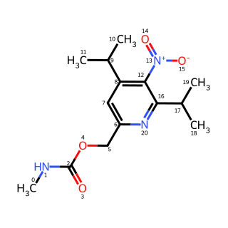 CNC(=O)OCc1cc(C(C)C)c([N+](=O)[O-])c(C(C)C)n1